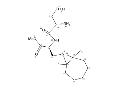 COC(=O)[C@H](CSC1(C)CCCCCC1(C)C)NC(=O)[C@@H](N)CC(=O)O